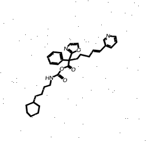 O=C(NCCCCC1CCCCC1)OC(=O)C(CCCC=Cc1cccnc1)(c1ccccc1)c1ncco1